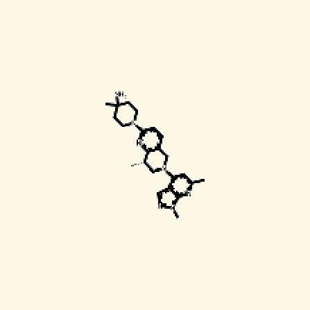 Cc1cc(N2Cc3ccc(N4CCC(C)(N)CC4)nc3[C@@H](C)C2)c2cnn(C)c2n1